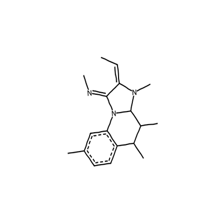 C/C=C1\C(=N/C)N2c3cc(C)ccc3C(C)C(C)C2N1C